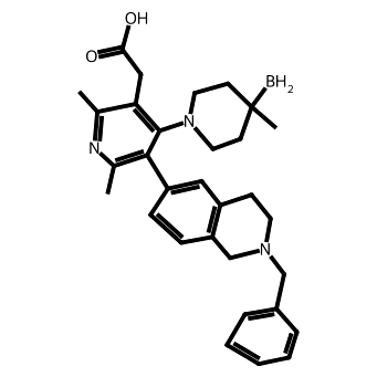 BC1(C)CCN(c2c(CC(=O)O)c(C)nc(C)c2-c2ccc3c(c2)CCN(Cc2ccccc2)C3)CC1